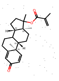 C=C(C)C(=O)OC1(C)CC[C@H]2C3CCC4=CC(=O)C=C[C@]4(C)[C@H]3CC[C@@]21C